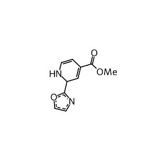 COC(=O)C1=CC(c2ncco2)NC=C1